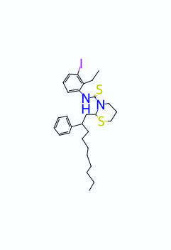 CCCCCCCCC(CC1SCCCN1C(=S)Nc1cccc(I)c1CC)c1ccccc1